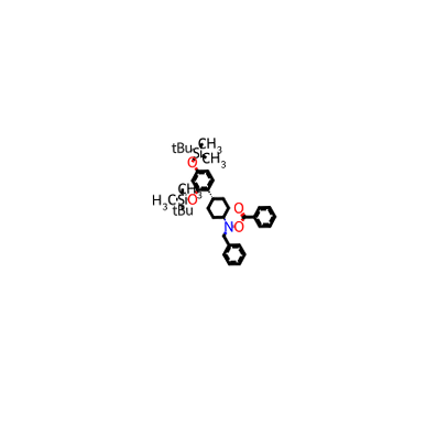 CC(C)(C)[Si](C)(C)Oc1ccc([C@H]2CC[C@@H](N(Cc3ccccc3)OC(=O)c3ccccc3)CC2)c(O[Si](C)(C)C(C)(C)C)c1